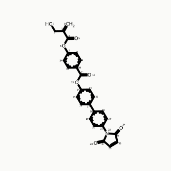 C=C(CO)C(=O)Oc1ccc(C(=O)Oc2ccc(-c3ccc(N4C(=O)C=CC4=O)cc3)cc2)cc1